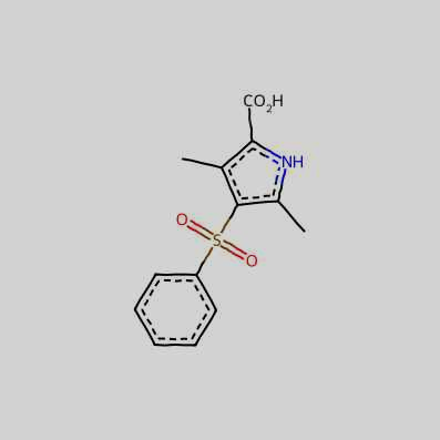 Cc1[nH]c(C(=O)O)c(C)c1S(=O)(=O)c1ccccc1